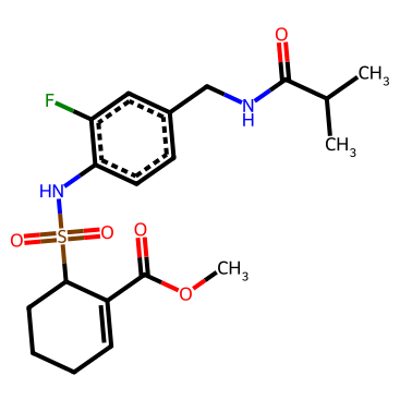 COC(=O)C1=CCCCC1S(=O)(=O)Nc1ccc(CNC(=O)C(C)C)cc1F